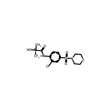 C[C@@](O)(C(=O)Nc1ccc(S(=O)(=O)N2CCSCC2)cc1Cl)C(F)(F)F